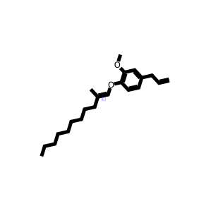 C=CCc1ccc(O/C=C(\C)CCCCCCCCC)c(OC)c1